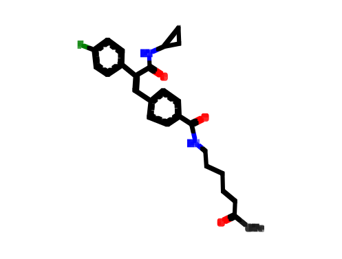 COC(=O)CCCCCNC(=O)c1ccc(/C=C(\C(=O)NC2CC2)c2ccc(F)cc2)cc1